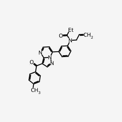 C=CCN(C(=O)CC)c1cccc(-c2ccnc3c(C(=O)c4ccc(C)cc4)cnn23)c1